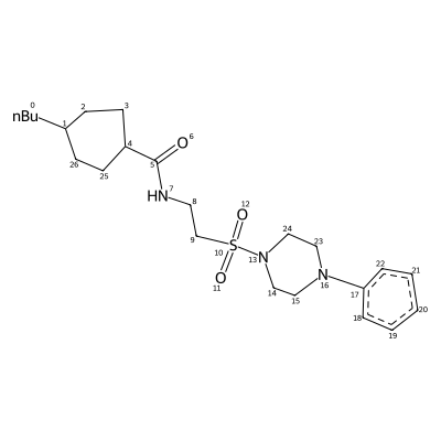 CCCCC1CCC(C(=O)NCCS(=O)(=O)N2CCN(c3ccccc3)CC2)CC1